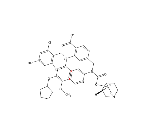 COc1ccc([C@H](Cc2c(Cl)c[n+](O)cc2Cl)c2cc(CN(C(=O)O[C@H]3CN4CCC3CC4)c3ccccn3)ccc2C(=O)[O-])cc1OC1CCCC1